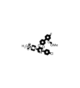 COCOc1cc(F)ccc1-c1ccc(Oc2c(N3CCN(S(C)(=O)=O)CC3)cnn(-c3ccc(Cl)cc3)c2=O)cc1